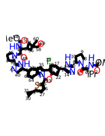 COC(=O)N[C@H](C(=O)N1CCC[C@H]1c1ncc(-c2cc(F)c3c(c2)OC(c2ccc(C4CC4)s2)n2c-3cc3cc(-c4cnc([C@@H]5CCCN5C(=O)[C@@H](NC(=O)OC)C5CC6(COC6)C5)[nH]4)ccc32)[nH]1)C(C)C